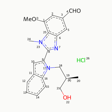 COc1cc(C=O)cc2nc(-c3cc4ccccc4n3C[C@@H](C)CO)n(C)c12.Cl